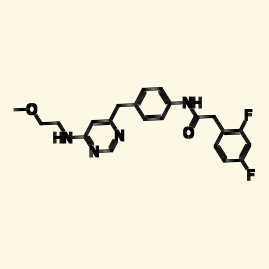 COCCNc1cc(Cc2ccc(NC(=O)Cc3ccc(F)cc3F)cc2)ncn1